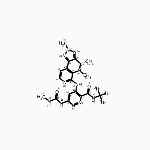 [2H]C([2H])([2H])NC(=O)c1nnc(NC(=O)NC)cc1Nc1nccc2c1N(C)[C@@H](C)c1nn(C)nc1-2